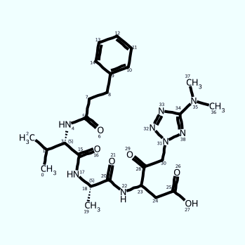 CC(C)[C@H](NC(=O)CCc1ccccc1)C(=O)N[C@@H](C)C(=O)NC(CC(=O)O)C(=O)Cn1nnc(N(C)C)n1